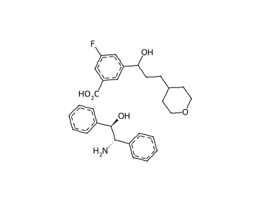 N[C@@H](c1ccccc1)[C@H](O)c1ccccc1.O=C(O)c1cc(F)cc(C(O)CCC2CCOCC2)c1